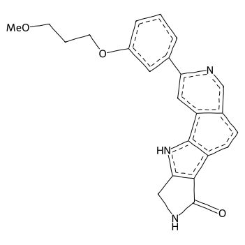 COCCCOc1cccc(-c2cc3c(ccc4c5c([nH]c43)CNC5=O)cn2)c1